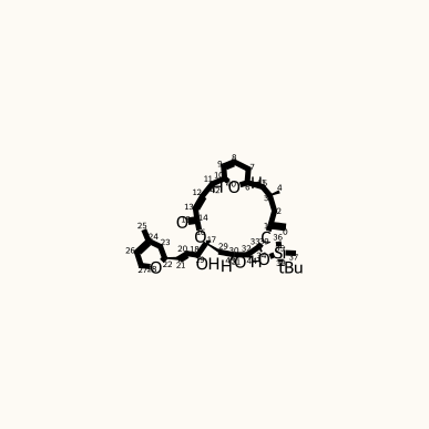 C=C1C[C@H](C)C[C@@H]2CC=C[C@@H](C/C=C\C(=O)O[C@H]([C@@H](O)/C=C/[C@@H]3CC(C)=CCO3)C[C@@H]3O[C@H]3[C@@H](O[Si](C)(C)C(C)(C)C)C1)O2